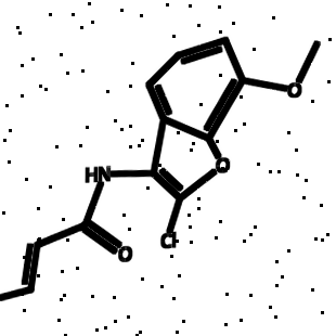 C/C=C/C(=O)Nc1c(Cl)oc2c(OC)cccc12